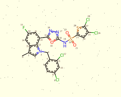 Cc1cn(Cc2ccc(Cl)cc2Cl)c2c(-c3nnc(NS(=O)(=O)c4cc(Cl)c(Cl)s4)o3)cc(F)cc12